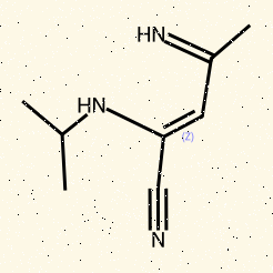 CC(=N)/C=C(/C#N)NC(C)C